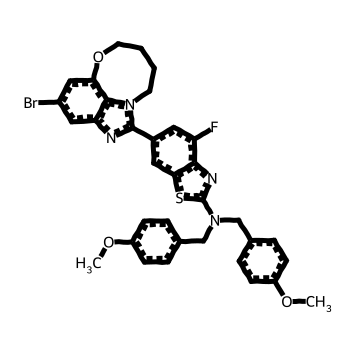 COc1ccc(CN(Cc2ccc(OC)cc2)c2nc3c(F)cc(-c4nc5cc(Br)cc6c5n4CCCCO6)cc3s2)cc1